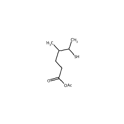 CC(=O)OC(=O)CCC(C)C(C)S